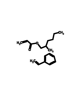 C=CC(=O)OCC(C)CCCC.C=Cc1ccccc1